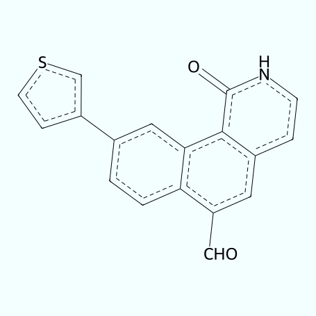 O=Cc1cc2cc[nH]c(=O)c2c2cc(-c3ccsc3)ccc12